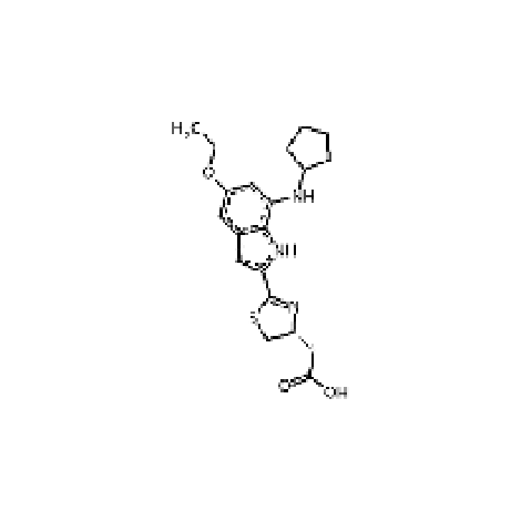 CCOc1cc(NC2CCCC2)c2[nH]c(C3=N[C@H](CC(=O)O)CS3)cc2c1